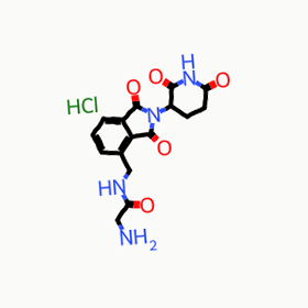 Cl.NCC(=O)NCc1cccc2c1C(=O)N(C1CCC(=O)NC1=O)C2=O